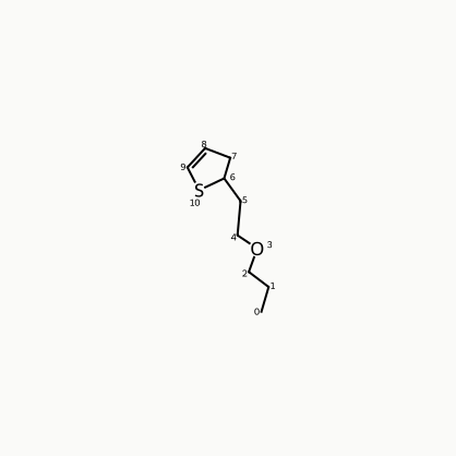 CCCOCCC1CC=CS1